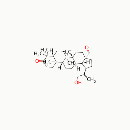 C=C(CO)[C@@H]1CC[C@]2(C=O)CC[C@]3(C)[C@H](CC[C@@H]4[C@@]5(C)CCC(=O)C(C)(C)[C@@H]5CC[C@]43C)[C@@H]12